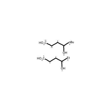 CCC(O)CCC(=O)O.CCCCC(O)CCC(=O)O